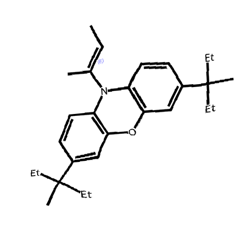 C/C=C(\C)N1c2ccc(C(C)(CC)CC)cc2Oc2cc(C(C)(CC)CC)ccc21